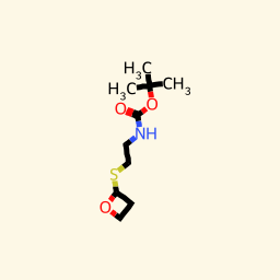 CC(C)(C)OC(=O)NCCSC1CCO1